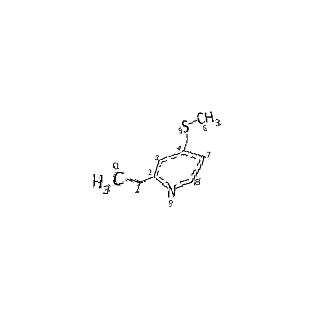 CCc1cc(SC)ccn1